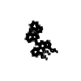 C=C1c2c(C)csc2N=C(Cn2nc(-n3nnc4ccccc43)c3c(N)ncnc32)N1c1ccccc1CC